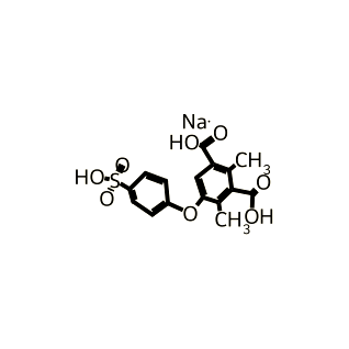 Cc1c(Oc2ccc(S(=O)(=O)O)cc2)cc(C(=O)O)c(C)c1C(=O)O.[Na]